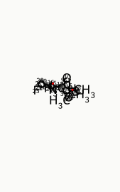 COC[C@@]1(C)[C@H]2CCC3(CO3)[C@@H](/C=C/c3ccc(-c4cccc(F)c4)cn3)[C@]2(C)CC[C@H]1OC